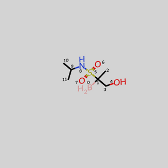 BC(C)(CO)S(=O)(=O)NC(C)C